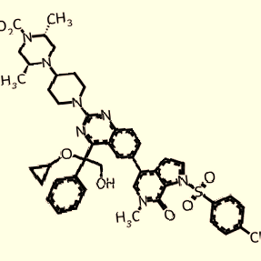 Cc1ccc(S(=O)(=O)n2ccc3c(-c4ccc5nc(N6CCC(N7C[C@@H](C)N(C(=O)O)C[C@@H]7C)CC6)nc(C(CO)(OC6CC6)c6ccccc6)c5c4)cn(C)c(=O)c32)cc1